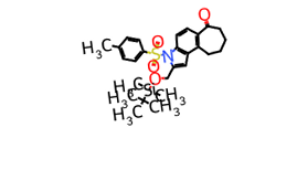 Cc1ccc(S(=O)(=O)n2c(CO[Si](C)(C)C(C)(C)C)cc3c4c(ccc32)C(=O)CCCC4)cc1